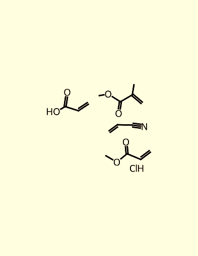 C=C(C)C(=O)OC.C=CC#N.C=CC(=O)O.C=CC(=O)OC.Cl